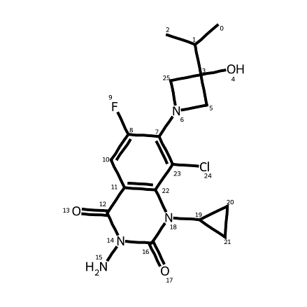 CC(C)C1(O)CN(c2c(F)cc3c(=O)n(N)c(=O)n(C4CC4)c3c2Cl)C1